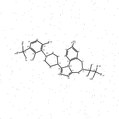 CC(C)(N1Cc2cc(Cl)ccc2-n2c(nnc2C2CCN(c3c(F)ccc(C(F)(F)F)c3F)CC2)C1)C(F)(F)F